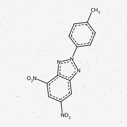 Cc1ccc(-n2nc3cc([N+](=O)[O-])cc([N+](=O)[O-])c3n2)cc1